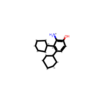 Nc1c(O)ccc(C2CCCCC2)c1C1CCCCC1